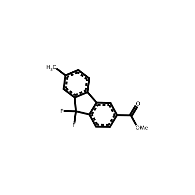 COC(=O)c1ccc2c(c1)-c1ccc(C)cc1C2(F)F